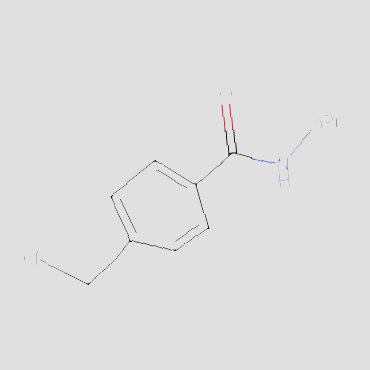 [CH2]CCNC(=O)c1ccc(CCl)cc1